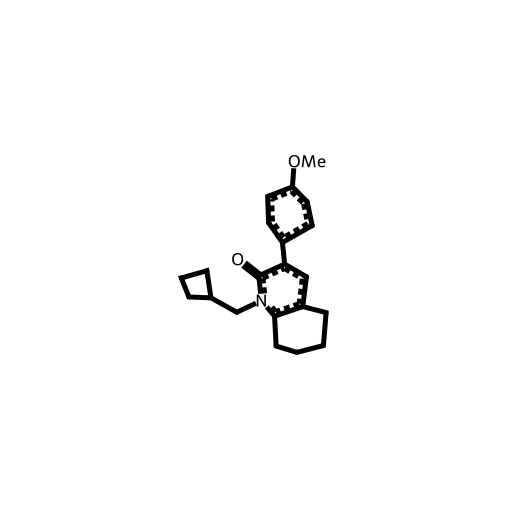 COc1ccc(-c2cc3c(n(CC4CCC4)c2=O)CCCC3)cc1